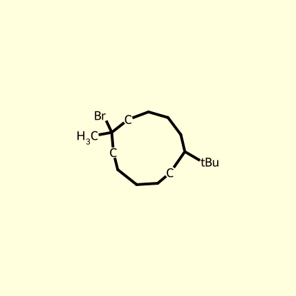 CC1(Br)CCCCCC(C(C)(C)C)CCCC1